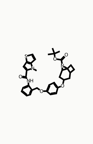 Cn1c(C(=O)Nc2ccccc2COc2ccc(OC3CC4CCC45C(C3)N5C(=O)OC(C)(C)C)cc2)cc2sccc21